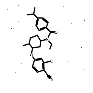 CCN(C(=O)c1ccc(C(C)C)cc1)C1CCC(C)C(Oc2ccc(C#N)c(Cl)c2)C1